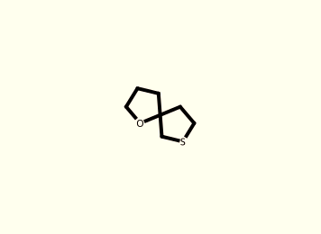 C1COC2(C1)CCSC2